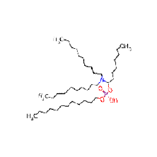 CCCCCCCCCCCCOP(=O)(O)OC(CCCCCCC)N(CCCCCCCCCC)CCCCCCCCCC